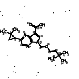 CC1(C)CC1c1cnc2c(n1)c(C(=O)O)cn2COCC[Si](C)(C)C